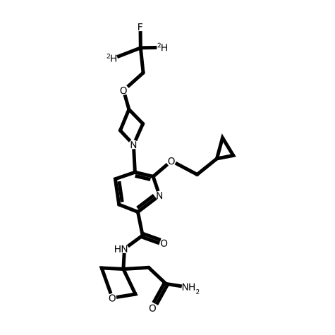 [2H]C([2H])(F)COC1CN(c2ccc(C(=O)NC3(CC(N)=O)COC3)nc2OCC2CC2)C1